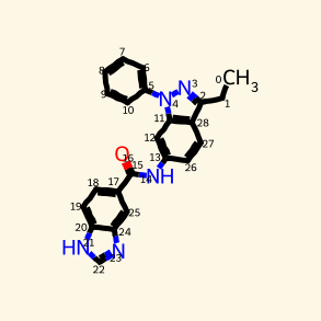 CCc1nn(-c2ccccc2)c2cc(NC(=O)c3ccc4[nH]cnc4c3)ccc12